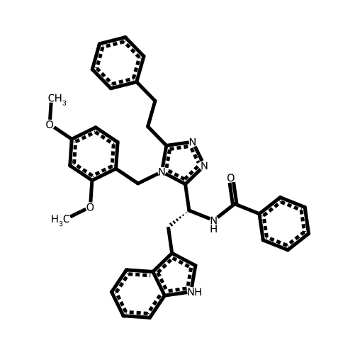 COc1ccc(Cn2c(CCc3ccccc3)nnc2[C@@H](Cc2c[nH]c3ccccc23)NC(=O)c2ccccc2)c(OC)c1